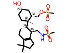 CC1(C)CCC2=C1CC[C@H]([C@@]1(C)CC[C@H](O)C[C@@H]1COS(C)(=O)=O)[C@H]2CNS(C)(=O)=O